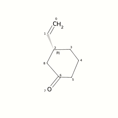 C=C[C@@H]1CCCC(=O)C1